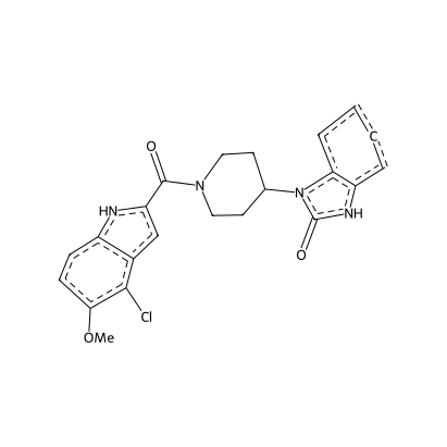 COc1ccc2[nH]c(C(=O)N3CCC(n4c(=O)[nH]c5ccccc54)CC3)cc2c1Cl